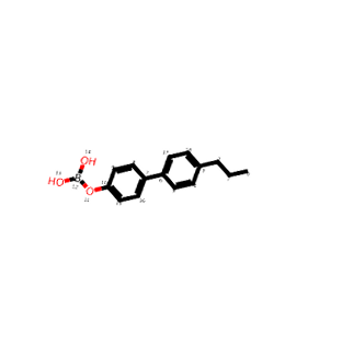 CCCc1ccc(-c2ccc(OB(O)O)cc2)cc1